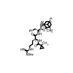 CNC(=N)NCCC[C@H](NC(=O)C1(C)CC1)C(=O)N[C@@H](CC(C)C)B1O[C@@H]2C[C@@H]3C[C@@H](C3(C)C)[C@]2(C)O1